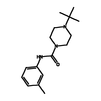 Cc1cccc(NC(=O)N2CCN(C(C)(C)C)CC2)c1